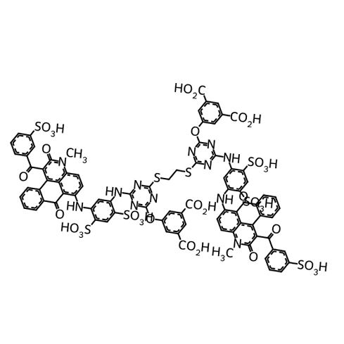 Cn1c(=O)c(C(=O)c2cccc(S(=O)(=O)O)c2)c2c3c(c(Nc4cc(Nc5nc(Oc6cc(C(=O)O)cc(C(=O)O)c6)nc(SCCSc6nc(Nc7cc(Nc8ccc9c%10c8C(=O)c8ccccc8-c%10c(C(=O)c8cccc(S(=O)(=O)O)c8)c(=O)n9C)c(S(=O)(=O)O)cc7S(=O)(=O)O)nc(Oc7cc(C(=O)O)cc(C(=O)O)c7)n6)n5)c(S(=O)(=O)O)cc4S(=O)(=O)O)ccc31)C(=O)c1ccccc1-2